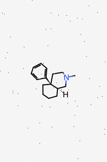 CN1CC[C@@]2(c3ccccc3)CCCC[C@@H]2C1